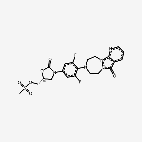 CS(=O)(=O)OC[C@H]1CN(c2cc(F)c(N3CCn4c(=O)c5cccnc5n4CC3)c(F)c2)C(=O)O1